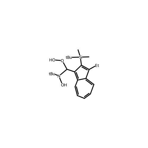 CCc1c2cccccc-2c(C(OO)N(O)C(C)(C)C)c1[Si](C)(C)C(C)(C)C